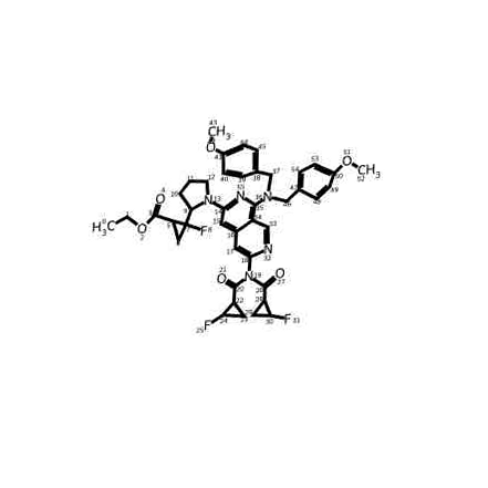 CCOC(=O)C1CC1(F)C1CCCN1c1cc2cc(N(C(=O)C3CC3F)C(=O)C3CC3F)ncc2c(N(Cc2ccc(OC)cc2)Cc2ccc(OC)cc2)n1